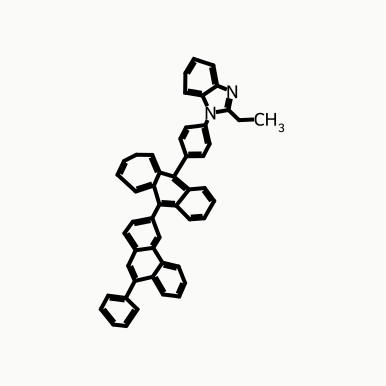 CCc1nc2ccccc2n1-c1ccc(-c2c3c(c(-c4ccc5cc(-c6ccccc6)c6ccccc6c5c4)c4ccccc24)=CC=CCC=3)cc1